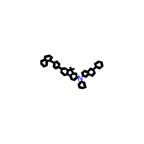 CC1(C)c2cc(-c3ccc(-c4cccc5ccccc45)cc3)ccc2-c2ccc(N(c3ccccc3)c3ccc4cc(-c5ccccc5)ccc4c3)cc21